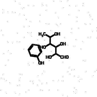 CC(O)C(O)C(O)C(O)C=O.Oc1ccccc1